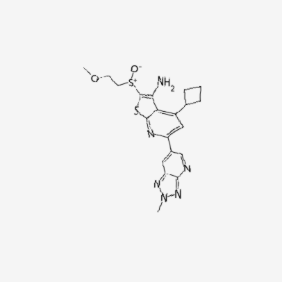 COCC[S+]([O-])c1sc2nc(-c3cnc4nn(C)nc4c3)cc(C3CCC3)c2c1N